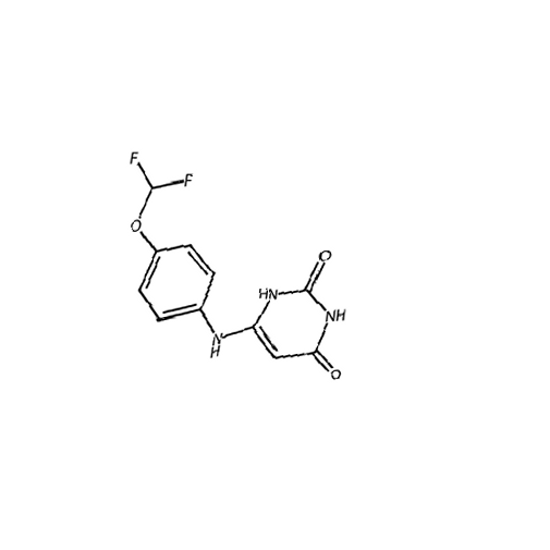 O=c1cc(Nc2ccc(OC(F)F)cc2)[nH]c(=O)[nH]1